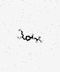 CCN(CC)C(=O)CNC(=O)c1ccc(CC(C)CCCC(C)C)cc1